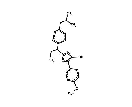 CCC(c1ccc(CC(C)C)cc1)c1nc(O)c(-c2ccc(OC)cc2)s1